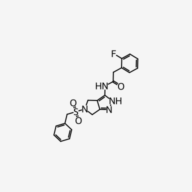 O=C(Cc1ccccc1F)Nc1[nH]nc2c1CN(S(=O)(=O)Cc1ccccc1)C2